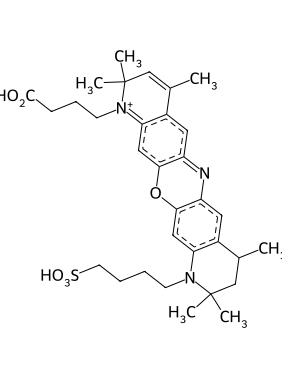 CC1=CC(C)(C)[N+](CCCC(=O)O)=c2cc3c(cc21)=Nc1cc2c(cc1O3)N(CCCCS(=O)(=O)O)C(C)(C)CC2C